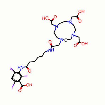 O=C(O)CN1CCN(CC(=O)O)CCN(CC(=O)NCCCCCC(=O)Nc2c(I)cc(I)c(C(=O)O)c2I)CCN(CC(=O)O)CC1